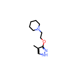 Cc1c[nH]nc1OCCN1CCCCC1